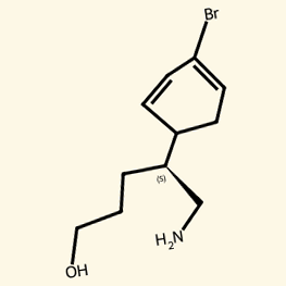 NC[C@@H](CCCO)C1C=CC(Br)=CC1